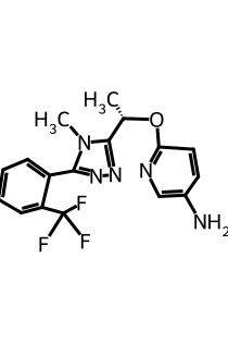 C[C@H](Oc1ccc(N)cn1)c1nnc(-c2ccccc2C(F)(F)F)n1C